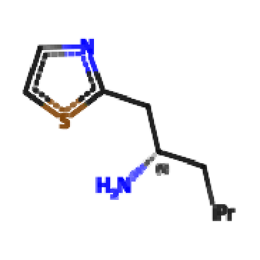 CC(C)C[C@H](N)Cc1nccs1